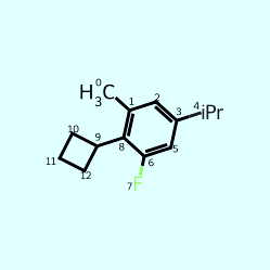 Cc1cc(C(C)C)cc(F)c1C1CCC1